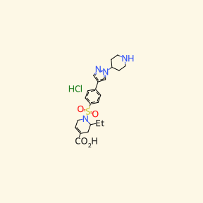 CCC1CC(C(=O)O)=CCN1S(=O)(=O)c1ccc(-c2cnn(C3CCNCC3)c2)cc1.Cl